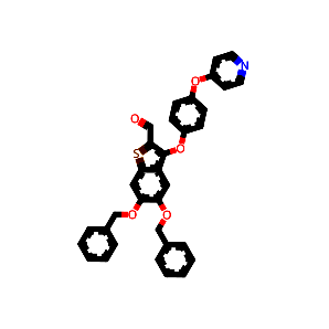 O=Cc1sc2cc(OCc3ccccc3)c(OCc3ccccc3)cc2c1Oc1ccc(Oc2ccncc2)cc1